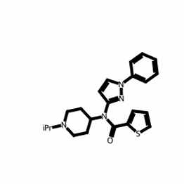 CC(C)N1CCC(N(C(=O)c2cccs2)c2ccn(-c3ccccc3)n2)CC1